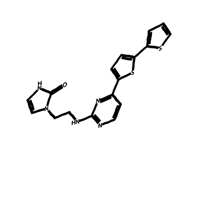 O=c1[nH]ccn1CCNc1nccc(-c2ccc(-c3cccs3)s2)n1